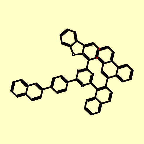 c1ccc2cc(-c3ccc(-c4nc(-c5c(-c6cc7ccccc7c7ccccc67)ccc6ccccc56)nc(-c5cccc6c5oc5ccccc56)n4)cc3)ccc2c1